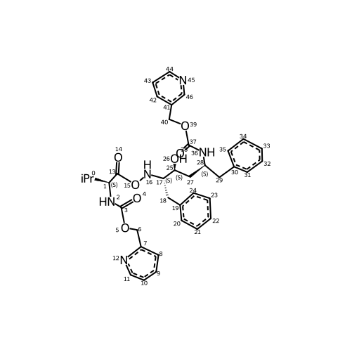 CC(C)[C@H](NC(=O)OCc1ccccn1)C(=O)ON[C@@H](Cc1ccccc1)[C@@H](O)C[C@H](Cc1ccccc1)NC(=O)OCc1cccnc1